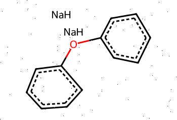 [NaH].[NaH].c1ccc(Oc2ccccc2)cc1